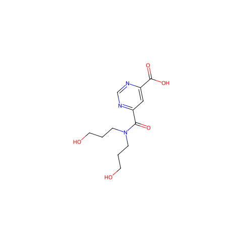 O=C(O)c1cc(C(=O)N(CCCO)CCCO)ncn1